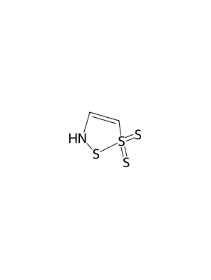 S=S1(=S)C=CNS1